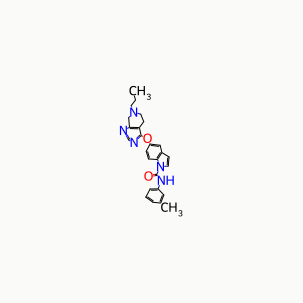 CCCN1CCc2c(ncnc2Oc2ccc3c(ccn3C(=O)Nc3cccc(C)c3)c2)C1